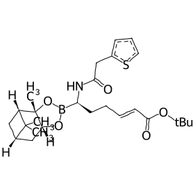 CC(C)(C)OC(=O)/C=C/CC[C@H](NC(=O)Cc1cccs1)B1O[C@@H]2C[C@@H]3C[C@@H](C3(C)C)[C@]2(C)O1